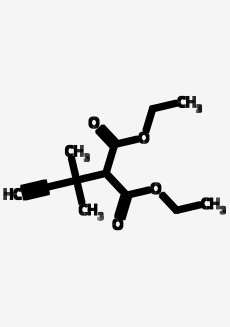 C#CC(C)(C)C(C(=O)OCC)C(=O)OCC